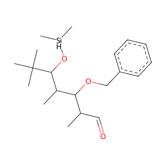 CC(C=O)C(OCc1ccccc1)C(C)C(O[SiH](C)C)C(C)(C)C